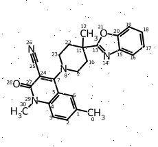 Cc1ccc2c(c1)c(N1CCC(C)(c3nc4ccccc4o3)CC1)c(C#N)c(=O)n2C